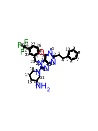 Cn1c(CCc2ccccc2)nc2nc(N3CCCC(N)C3)n(Cc3cccc(C(F)(F)F)c3)c2c1=O